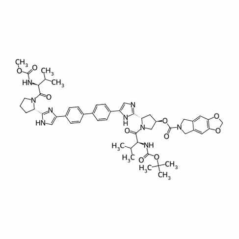 COC(=O)N[C@H](C(=O)N1CCC[C@H]1c1nc(-c2ccc(-c3ccc(-c4cnc([C@@H]5C[C@@H](OC(=O)N6Cc7cc8c(cc7C6)OCO8)CN5C(=O)[C@@H](NC(=O)OC(C)(C)C)C(C)C)[nH]4)cc3)cc2)c[nH]1)C(C)C